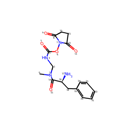 CN(CNC(=O)ON1C(=O)CCC1=O)C(=O)[C@@H](N)Cc1ccccc1